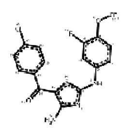 Nc1nc(Nc2ccc(OC(F)(F)F)c(F)c2)sc1C(=O)c1ccc(Cl)cc1